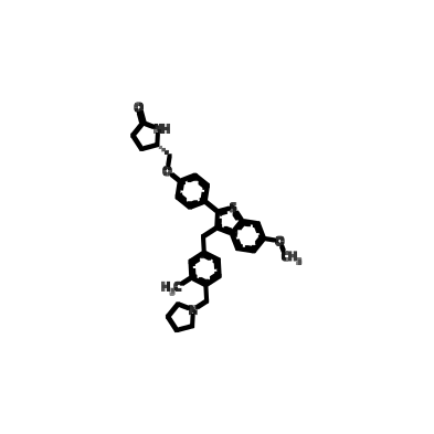 COc1ccc2c(Cc3ccc(CN4CCCC4)c(C)c3)c(-c3ccc(OC[C@@H]4CCC(=O)N4)cc3)sc2c1